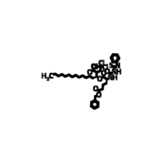 CCCCCCCCCCCCC[C@H](OC(=O)[C@H](CCCC(=O)OCc1ccccc1)NC(=O)Nc1nc2ccccc2s1)C(CC(Cl)(Cl)Cl)C(=O)O